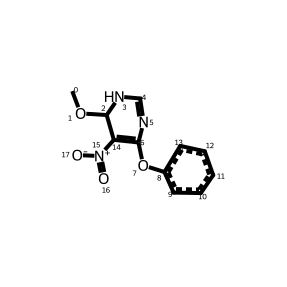 COC1NC=NC(Oc2ccccc2)=C1[N+](=O)[O-]